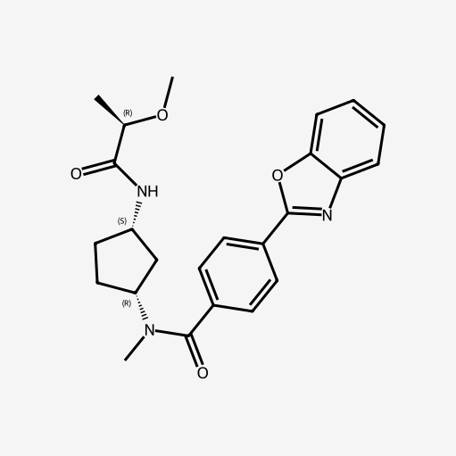 CO[C@H](C)C(=O)N[C@H]1CC[C@@H](N(C)C(=O)c2ccc(-c3nc4ccccc4o3)cc2)C1